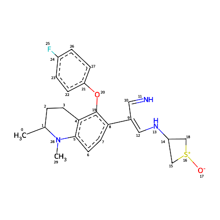 CC1CCc2c(ccc(/C(C=N)=C/NC3C[S+]([O-])C3)c2Oc2ccc(F)cc2)N1C